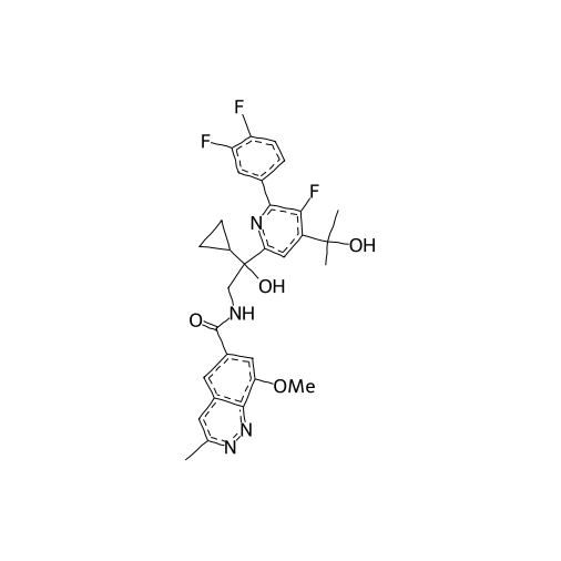 COc1cc(C(=O)NCC(O)(c2cc(C(C)(C)O)c(F)c(-c3ccc(F)c(F)c3)n2)C2CC2)cc2cc(C)nnc12